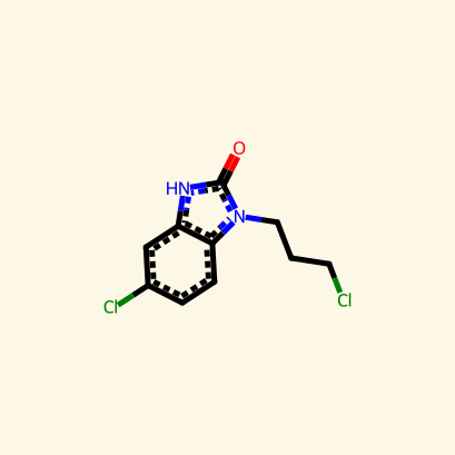 O=c1[nH]c2cc(Cl)ccc2n1CCCCl